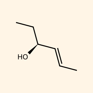 CC=C[C@@H](O)CC